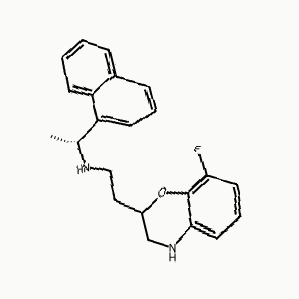 C[C@@H](NCCC1CNc2cccc(F)c2O1)c1cccc2ccccc12